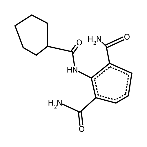 NC(=O)c1cccc(C(N)=O)c1NC(=O)C1CCCCC1